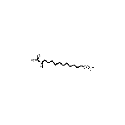 CCC(=O)NCCCCCCCCCCCC(=O)O